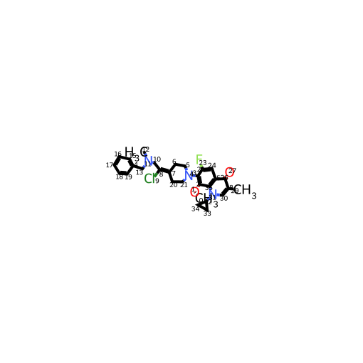 COc1c(N2CCC(=C(Cl)CN(C)Cc3ccccc3)CC2)c(F)cc2c(=O)c(C)cn(C3CC3)c12